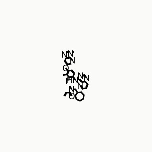 C=CC(=O)N(C)CC1CCCCC[C@H]1c1ccc2ncnc(Nc3ccc(Oc4cnc5c(c4)ncn5C)c(C)c3F)c2n1